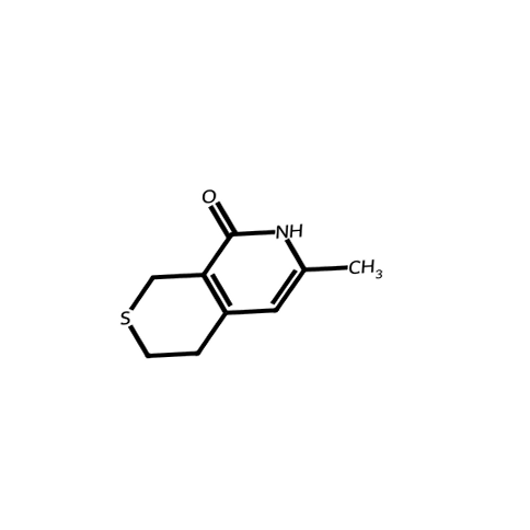 Cc1cc2c(c(=O)[nH]1)CSCC2